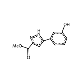 COC(=O)c1cc(-c2cccc(O)c2)[nH]n1